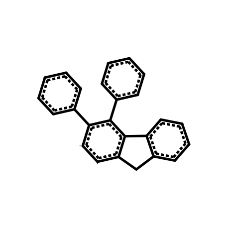 [c]1[c]c(-c2ccccc2)c(-c2ccccc2)c2c1Cc1ccccc1-2